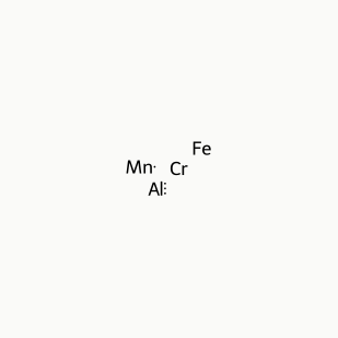 [Al].[Cr].[Fe].[Mn]